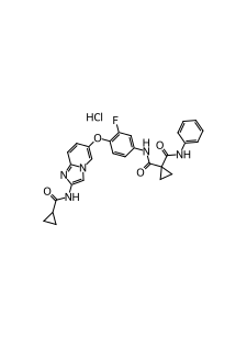 Cl.O=C(Nc1cn2cc(Oc3ccc(NC(=O)C4(C(=O)Nc5ccccc5)CC4)cc3F)ccc2n1)C1CC1